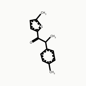 Cc1ccc(C(C)C(=O)c2ccc(C)s2)cc1